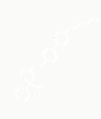 CCCCCCc1ccc(-c2ccc(OCC(CC)C[C@@](F)(C(=O)O)C3CCCCC3)cc2)nc1